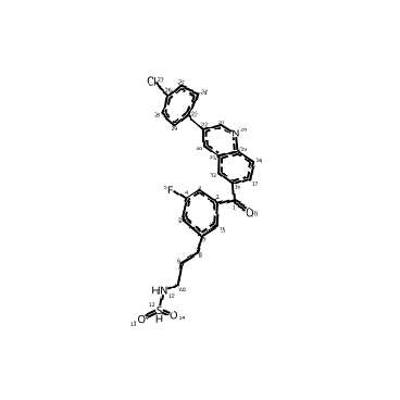 O=C(c1cc(F)cc(CCCN[SH](=O)=O)c1)c1ccc2ncc(-c3ccc(Cl)cc3)cc2c1